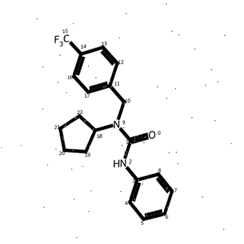 O=C(Nc1ccccc1)N(Cc1ccc(C(F)(F)F)cc1)C1CCCC1